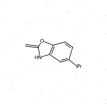 C=C1Nc2cc(C(C)C)ccc2O1